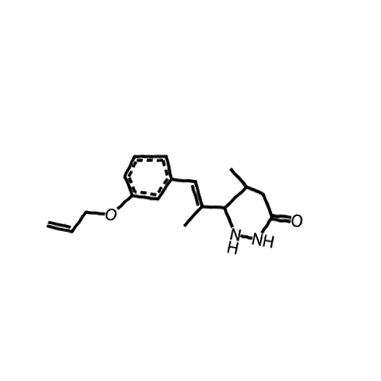 C=CCOc1cccc(/C=C(\C)C2NNC(=O)CC2C)c1